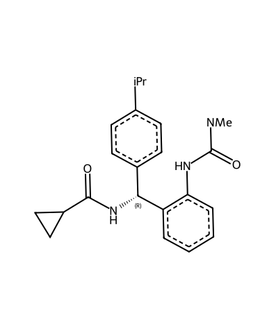 CNC(=O)Nc1ccccc1[C@H](NC(=O)C1CC1)c1ccc(C(C)C)cc1